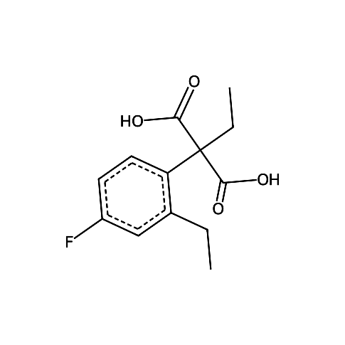 CCc1cc(F)ccc1C(CC)(C(=O)O)C(=O)O